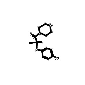 CC(C)(Oc1ccc(Cl)cc1)C(=O)N1CCNCC1